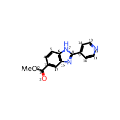 COC(=O)c1ccc2[nH]c(-c3ccncc3)nc2c1